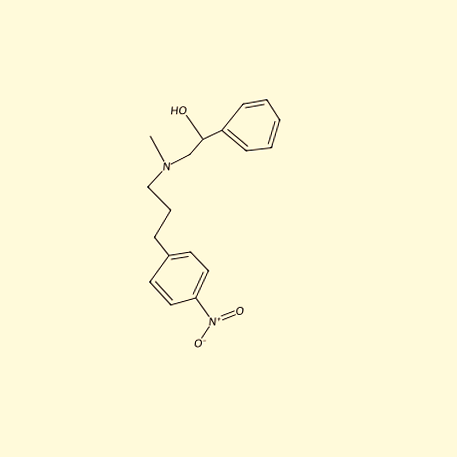 CN(CCCc1ccc([N+](=O)[O-])cc1)CC(O)c1ccccc1